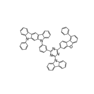 c1ccc(-c2cccc3oc4cc(-c5nc(-c6cccc(-n7c8ccccc8c8cc9c%10ccccc%10n(-c%10ccccc%10)c9cc87)c6)nc(-n6c7ccccc7c7ccccc76)n5)ccc4c23)cc1